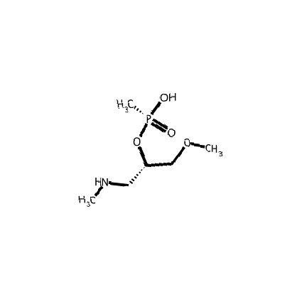 CNC[C@@H](COC)O[P@](C)(=O)O